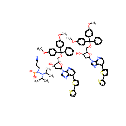 CC(C)N(C(C)C)N(CCC#N)P(O)O.COc1ccc(C(OCC2OC(n3cnc4c(-c5ccc(-c6cccs6)s5)ccnc43)CC2O)(c2ccccc2)c2ccc(OC)cc2)cc1.COc1ccc(C(OC[C@H]2O[C@@H](n3cnc4c(-c5ccc(-c6cccs6)s5)ccnc43)C[C@@H]2O)(c2ccccc2)c2ccc(OC)cc2)cc1